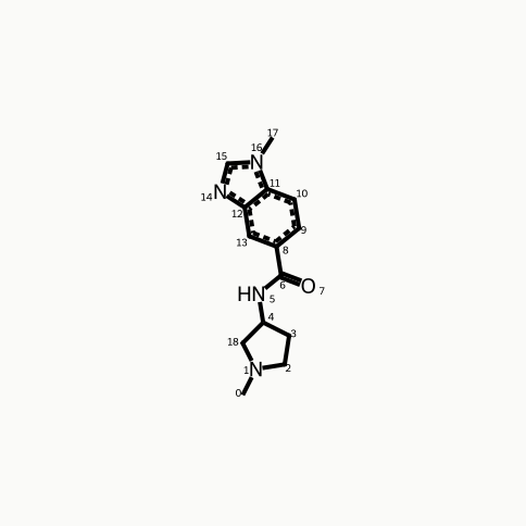 CN1CCC(NC(=O)c2ccc3c(c2)ncn3C)C1